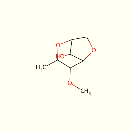 COC1C(C)OC2COC1C2O